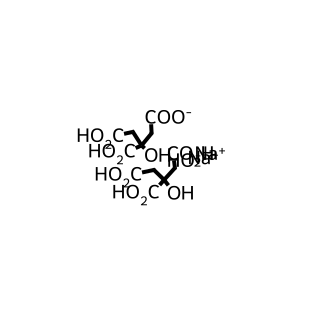 O=C(O)CC(O)(CC(=O)O)C(=O)O.O=C([O-])CC(O)(CC(=O)O)C(=O)O.[Na+].[Na+].[OH-]